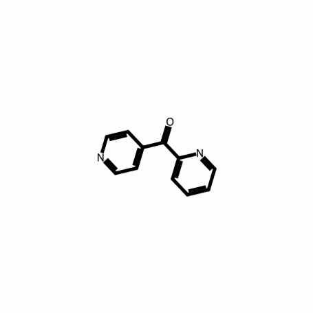 O=C(c1ccncc1)c1ccccn1